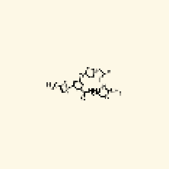 Cc1ncc(CNC(=O)c2cc(OC3CCN(CC(F)F)CC3)cc(-c3ncc(C)s3)c2)cn1